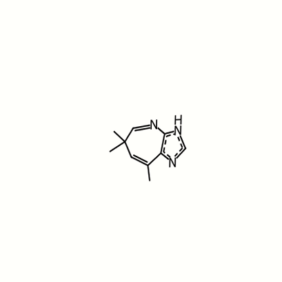 CC1=CC(C)(C)C=Nc2[nH]cnc21